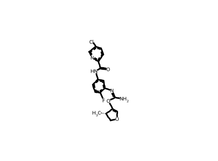 C[C@H]1COC=C1O/C(N)=N\c1cc(NC(=O)c2ccc(Cl)cn2)ccc1F